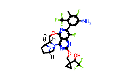 Cc1c(F)c(N)cc(-c2nc3c4c(nc(OCC5(C(O)C(F)(F)F)CC5)nc4c2F)N2C[C@H]4CC[C@H](N4)[C@H]2[C@H](C)O3)c1C(F)(F)F